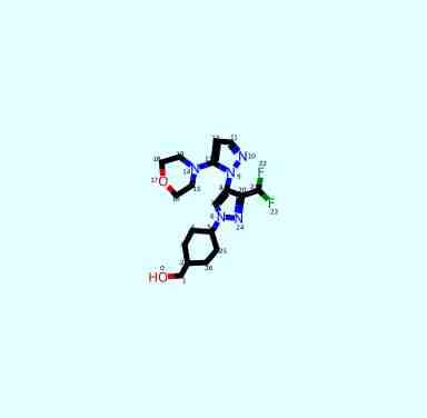 OCC1CCC(n2cc(-n3nccc3N3CCOCC3)c(C(F)F)n2)CC1